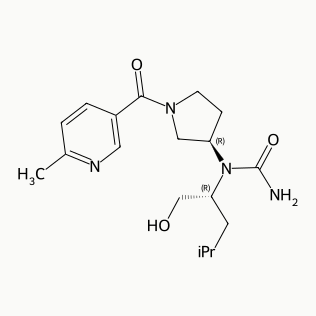 Cc1ccc(C(=O)N2CC[C@@H](N(C(N)=O)[C@@H](CO)CC(C)C)C2)cn1